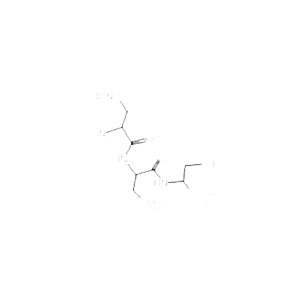 CC(=O)NCC(N)C(=O)NC(CC(=O)O)C(=O)NC(CS)C(=O)O